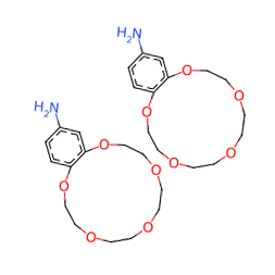 Nc1ccc2c(c1)OCCOCCOCCOCCO2.Nc1ccc2c(c1)OCCOCCOCCOCCO2